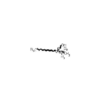 CCCCCCCCCCCCOP(OCCO)OCC(C)(C)C